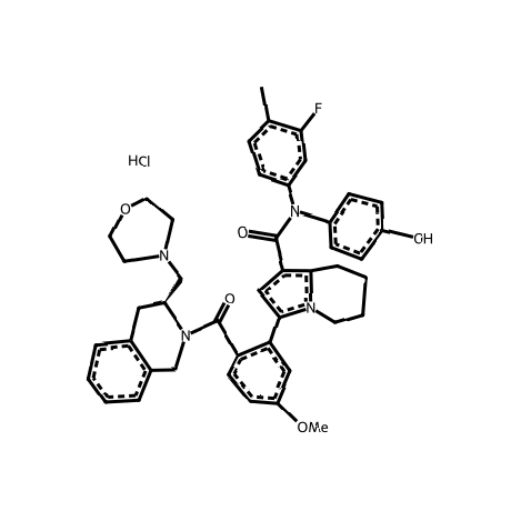 COc1ccc(C(=O)N2Cc3ccccc3C[C@H]2CN2CCOCC2)c(-c2cc(C(=O)N(c3ccc(O)cc3)c3ccc(C)c(F)c3)c3n2CCCC3)c1.Cl